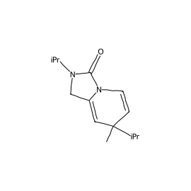 CC(C)N1CC2=CC(C)(C(C)C)C=CN2C1=O